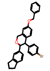 Brc1ccc(C2c3ccc(OCc4ccccc4)cc3COC2c2ccc3c(c2)CCC3)cc1